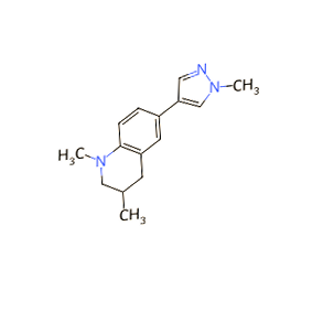 CC1Cc2cc(-c3cnn(C)c3)ccc2N(C)C1